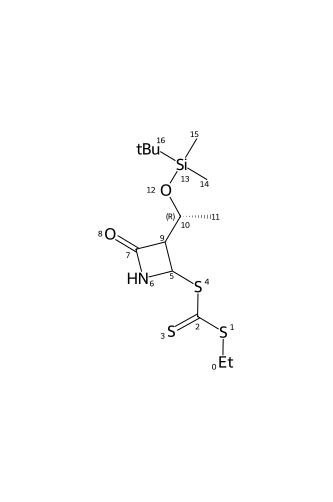 CCSC(=S)SC1NC(=O)C1[C@@H](C)O[Si](C)(C)C(C)(C)C